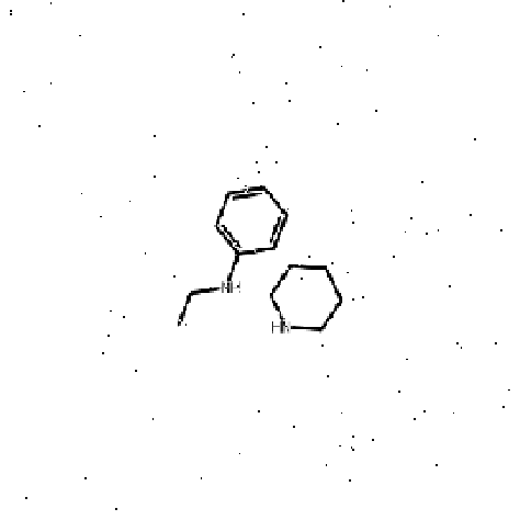 C1CCNCC1.CCNc1ccccc1